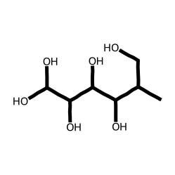 CC(CO)C(O)C(O)C(O)C(O)O